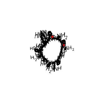 CC(C)[C@@H]1NC(=O)[C@H](CO)NC(=O)[C@H](Cc2ccccc2)N(C)C(=O)[C@H](CCCNC(=N)N)NC(=O)[C@H](Cc2ccccc2)NC(=O)CSC[C@@H](C(=O)NCC(N)=O)NC(=O)[C@H](Cc2ccccc2)N(C)C(=O)[C@H](CC(N)=O)NC(=O)[C@@H]2Cc3ccccc3CN2C(=O)[C@H](CCCCN)NC(=O)[C@H](CCCNC(=N)N)NC(=O)CN(C)C(=O)[C@H](Cc2ccc(O)cc2)NC(=O)[C@H](CC(N)=O)NC1=O